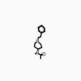 CC(=O)N(C)C1CCN(CCc2ccccc2)CC1